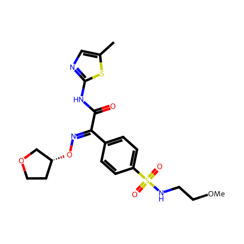 COCCNS(=O)(=O)c1ccc(/C(=N\O[C@@H]2CCOC2)C(=O)Nc2ncc(C)s2)cc1